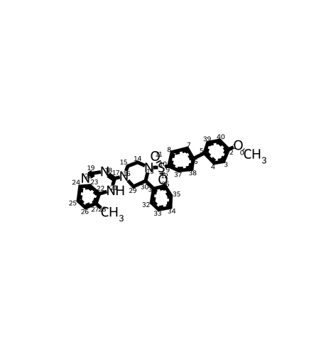 COc1ccc(-c2ccc(S(=O)(=O)N3CCN(/C(=N/C#N)Nc4ccccc4C)CC3c3ccccc3)cc2)cc1